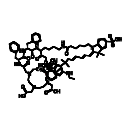 CCNc1ccc(S(=O)(=O)O)cc1C(C)(C)C/C=C/C=C/C=C1\N(CCCCCC(=O)NCCCC[C@H](NC(=O)[C@H](Cc2ccccc2)NC(=O)[C@H](Cc2ccccc2)NC(=O)CN2CCN(CC(=O)O)CCN(CC(=O)O)CCN(CC(=O)O)CC2)C(=O)COC(=O)c2c(C)cccc2C)c2ccc(S(=O)(=O)O)cc2C1(C)C